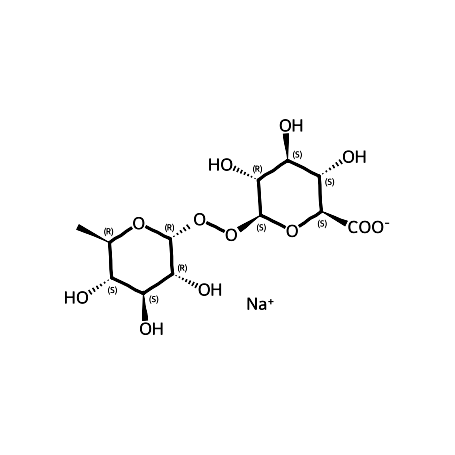 C[C@H]1O[C@H](OO[C@@H]2O[C@H](C(=O)[O-])[C@@H](O)[C@H](O)[C@H]2O)[C@H](O)[C@@H](O)[C@@H]1O.[Na+]